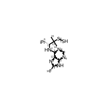 CC(C)[C@@H](Nc1ncnc2[nH]c(F)nc12)C(C)(C)SS